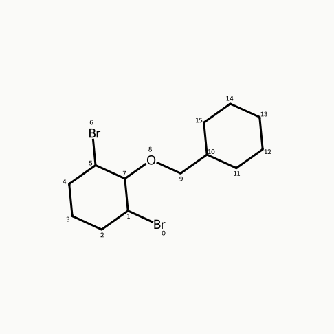 BrC1CCCC(Br)C1OCC1CCCCC1